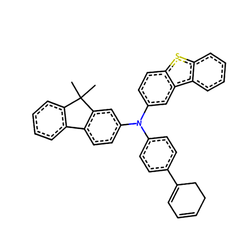 CC1(C)c2ccccc2-c2ccc(N(c3ccc(C4=CC=CCC4)cc3)c3ccc4sc5ccccc5c4c3)cc21